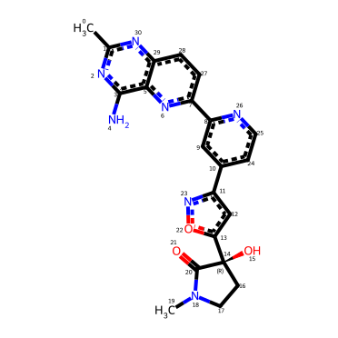 Cc1nc(N)c2nc(-c3cc(-c4cc([C@]5(O)CCN(C)C5=O)on4)ccn3)ccc2n1